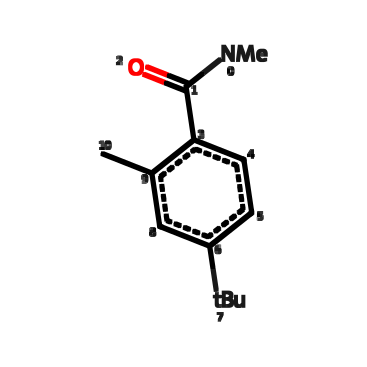 CNC(=O)c1ccc(C(C)(C)C)cc1C